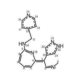 C/N=C\C(=C1/C=CC=CC(NCc2ccncc2)=N1)c1cn[nH]c1